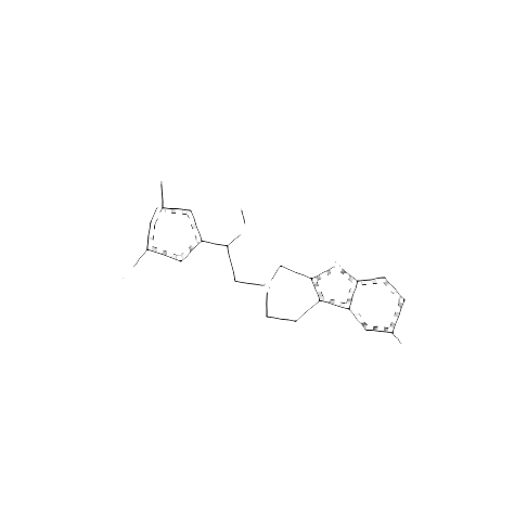 O=COC(CN1CCc2c([nH]c3ccc(Cl)cc23)C1)c1cc(Cl)cc(C(F)(F)F)c1